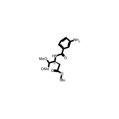 COC(OC)[C@H](CC(=O)OC(C)(C)C)NC(=O)c1cccc(N)c1